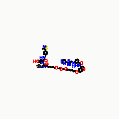 Cc1ncsc1-c1ccc(CNC(=O)[C@@H]2C[C@@H](O)CN2C[C@H](NC(=O)CCCCCOCCOCCOCCCCCCOc2ccc3c(c2)[C@H](NC(=O)c2cccc(NCc4nnc(-c5ccncn5)n4C)c2)CCO3)C(C)(C)C)cc1